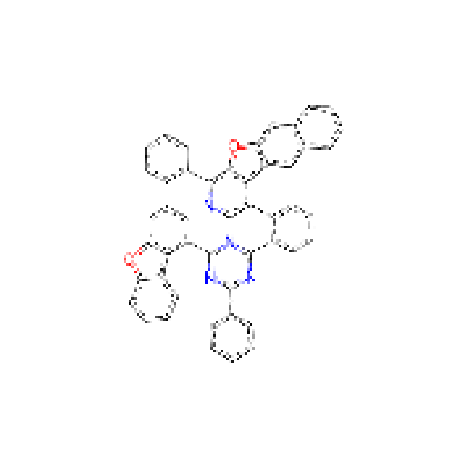 c1ccc(-c2nc(-c3ccccc3-c3cnc(-c4ccccc4)c4oc5cc6ccccc6cc5c34)nc(-c3cccc4oc5ccccc5c34)n2)cc1